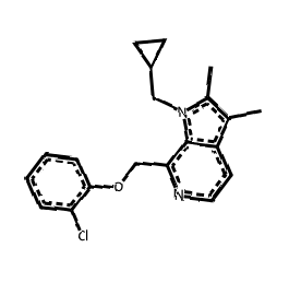 Cc1c(C)n(CC2CC2)c2c(COc3ccccc3Cl)nccc12